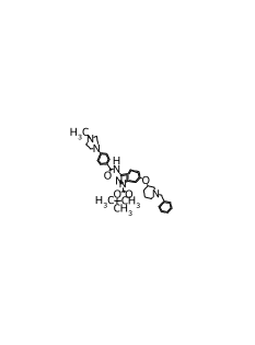 CN1CCN(c2ccc(C(=O)Nc3nn(C(=O)OC(C)(C)C)c4cc(OC5CCCN(Cc6ccccc6)C5)ccc34)cc2)CC1